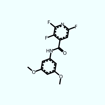 COc1cc(NC(=O)c2cc(F)nc(F)c2F)cc(OC)c1